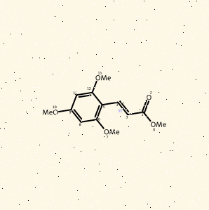 COC(=O)/C=C/c1c(OC)cc(OC)cc1OC